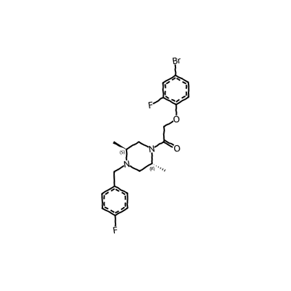 C[C@@H]1CN(Cc2ccc(F)cc2)[C@@H](C)CN1C(=O)COc1ccc(Br)cc1F